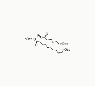 CCCCCCCC/C=C\CCCCCCCC(=O)OCCCCCCCCCC.CCCCCCCCCCCCCCCC(=O)OC(C)C